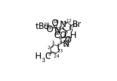 Cc1ccc(-c2cc(-c3cc(Br)cnc3N(C(=O)O)C(=O)OC(C)(C)C)on2)cc1